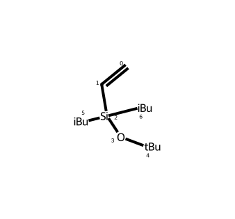 C=C[Si](OC(C)(C)C)(C(C)CC)C(C)CC